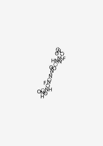 O=C1CCC(Nc2ccc(N3CCC(N4CC5(CN(C(=O)O[C@H]6CC[C@H](Nc7ncc(F)c(-c8cccc(-n9ccccc9=O)c8)n7)CC6)C5)C4)CC3)c(F)c2)C(=O)N1